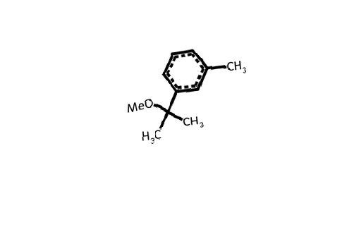 COC(C)(C)c1cccc(C)c1